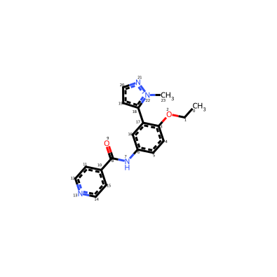 CCOc1ccc(NC(=O)c2ccncc2)cc1-c1ccnn1C